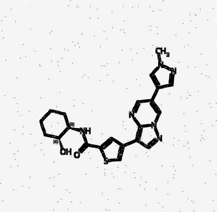 Cn1cc(-c2cnc3c(-c4csc(C(=O)N[C@@H]5CCCC[C@H]5O)c4)cnn3c2)cn1